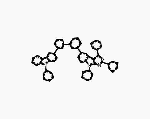 c1ccc(-c2nc(-c3ccccc3)c3c4cc(-c5cccc(-c6cccc(-c7ccc8c(c7)c7ccccc7n8-c7ccccc7)c6)c5)ccc4n(-c4ccccc4)c3n2)cc1